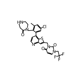 Cc1cc(Cl)cc(-c2ccnc3cc(Cn4c(=O)ccn(CC(F)(F)F)c4=O)sc23)c1CN1CCNCCC1=O